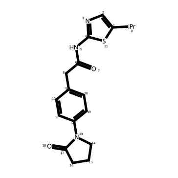 CC(C)c1cnc(NC(=O)Cc2ccc(N3CCCC3=O)cc2)s1